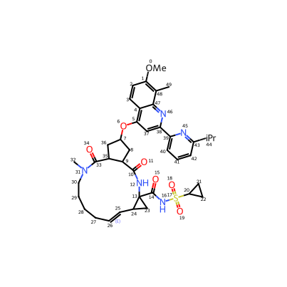 COc1ccc2c(OC3CC4C(=O)NC5(C(=O)NS(=O)(=O)C6CC6)CC5/C=C/CCCCN(C)C(=O)C4C3)cc(-c3cccc(C(C)C)n3)nc2c1C